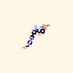 CCCS(=O)(=O)Nc1c(F)ccc(C(=O)c2c[nH]c3ncc(-c4cnc(N5CCN(CCO)CC5)nc4)cc23)c1F